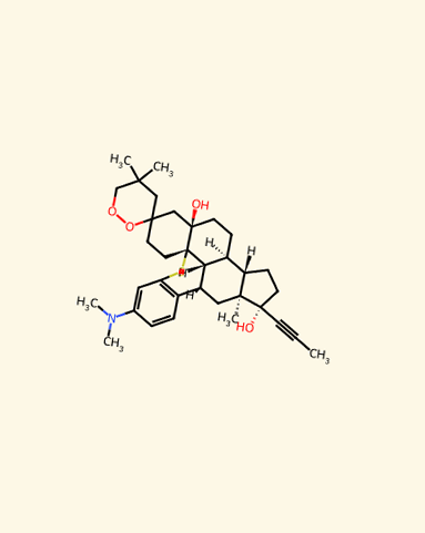 CC#C[C@]1(O)CC[C@H]2[C@@H]3CC[C@@]4(O)CC5(CC[C@@]46Sc4cc(N(C)C)ccc4[C@@H](C[C@@]21C)[C@@H]36)CC(C)(C)COO5